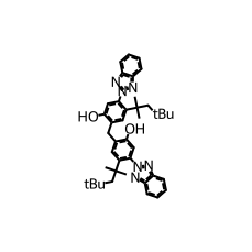 CC(C)(C)CC(C)(C)c1cc(Cc2cc(C(C)(C)CC(C)(C)C)c(-n3nc4ccccc4n3)cc2O)c(O)cc1-n1nc2ccccc2n1